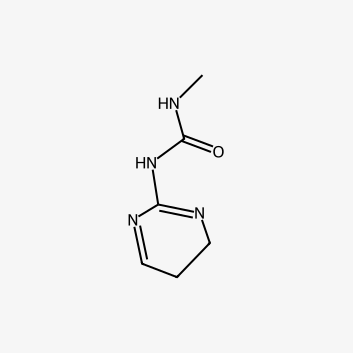 CNC(=O)NC1=NCCC=N1